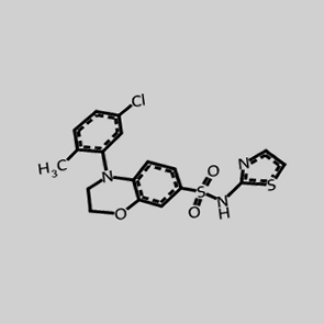 Cc1ccc(Cl)cc1N1CCOc2cc(S(=O)(=O)Nc3nccs3)ccc21